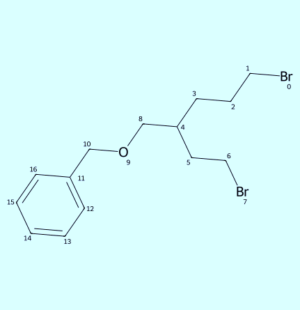 BrCCCC(CCBr)COCc1ccccc1